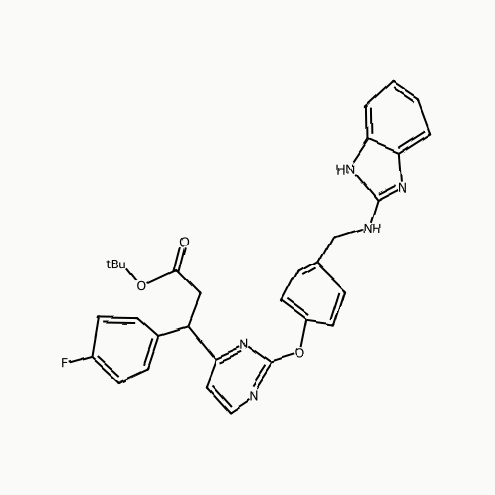 CC(C)(C)OC(=O)CC(c1ccc(F)cc1)c1ccnc(Oc2ccc(CNc3nc4ccccc4[nH]3)cc2)n1